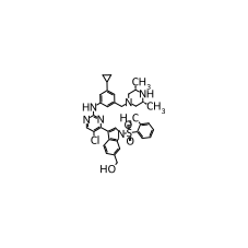 Cc1ccccc1S(=O)(=O)n1cc(-c2nc(Nc3cc(CN4C[C@@H](C)N[C@@H](C)C4)cc(C4CC4)c3)ncc2Cl)c2ccc(CO)cc21